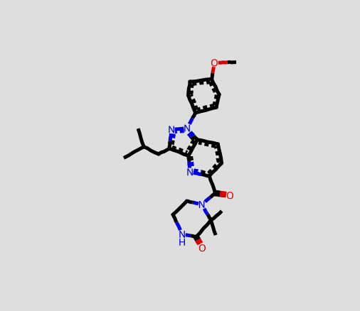 COc1ccc(-n2nc(CC(C)C)c3nc(C(=O)N4CCNC(=O)C4(C)C)ccc32)cc1